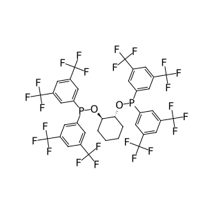 FC(F)(F)c1cc(P(O[C@@H]2CCCC[C@H]2OP(c2cc(C(F)(F)F)cc(C(F)(F)F)c2)c2cc(C(F)(F)F)cc(C(F)(F)F)c2)c2cc(C(F)(F)F)cc(C(F)(F)F)c2)cc(C(F)(F)F)c1